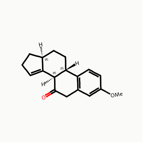 COc1ccc2c(c1)CC(=O)[C@H]1C3=CCC[C@H]3CC[C@H]21